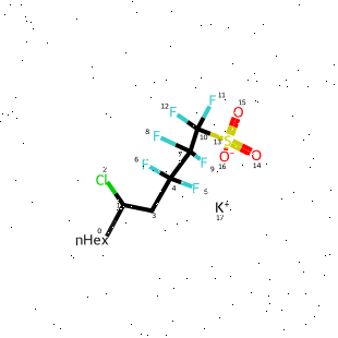 CCCCCCC(Cl)CC(F)(F)C(F)(F)C(F)(F)S(=O)(=O)[O-].[K+]